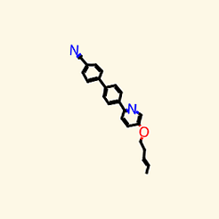 CC=CCCOc1ccc(-c2ccc(-c3ccc(C#N)cc3)cc2)nc1